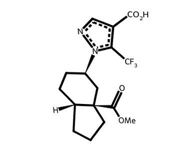 COC(=O)[C@@]12CCC[C@@H]1CC[C@@H](n1ncc(C(=O)O)c1C(F)(F)F)C2